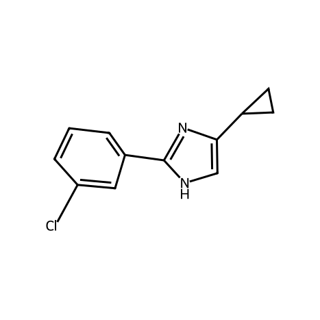 Clc1cccc(-c2nc(C3CC3)c[nH]2)c1